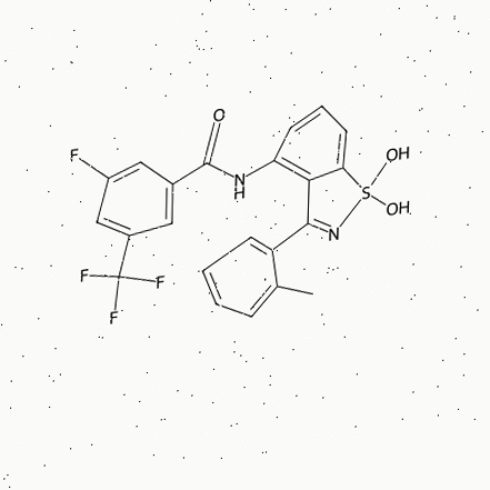 Cc1ccccc1C1=NS(O)(O)c2cccc(NC(=O)c3cc(F)cc(C(F)(F)F)c3)c21